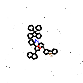 c1ccc(C2(c3ccccc3)c3ccccc3-c3c(N(c4ccc(-c5ccc6sc7ccccc7c6c5)cc4)c4ccccc4-c4cccc(-c5cccc6ccccc56)c4)cccc32)cc1